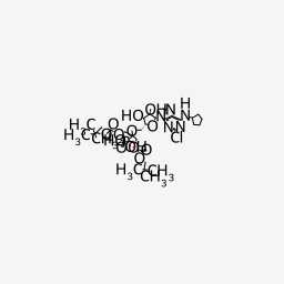 CC(C)(C)COC(=O)OCC(COC(=O)OCC(C)(C)C)(OC[C@H]1O[C@@H](n2cnc3c(NC4CCCC4)nc(Cl)nc32)[C@H](O)[C@@H]1O)P(=O)(O)O